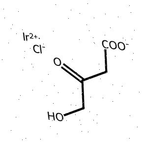 O=C([O-])CC(=O)CO.[Cl-].[Ir+2]